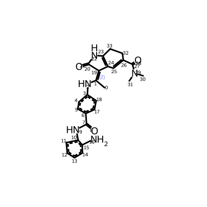 C/C(Nc1ccc(C(=O)Nc2ccccc2N)cc1)=C1/C(=O)NC2=C1C=C(C(=O)N(C)C)CC2